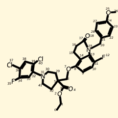 CCOC(=O)C1(COc2ccc(F)c3c2CCC(=O)N3Cc2ccc(OC)cc2)CCN(c2cc(F)c(Cl)cc2Cl)CC1